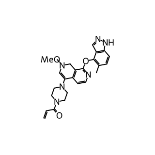 C=CC(=O)N1CCN(C2=CN(OC)Cc3c2ccnc3Oc2c(C)ccc3[nH]ncc23)CC1